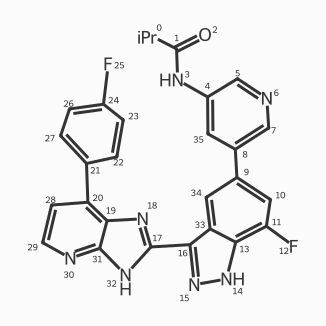 CC(C)C(=O)Nc1cncc(-c2cc(F)c3[nH]nc(-c4nc5c(-c6ccc(F)cc6)ccnc5[nH]4)c3c2)c1